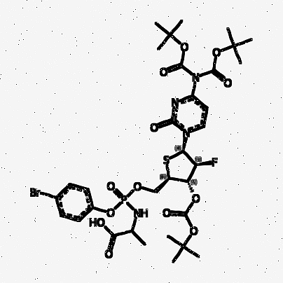 CC(NP(=O)(OC[C@H]1S[C@@H](n2ccc(N(C(=O)OC(C)(C)C)C(=O)OC(C)(C)C)nc2=O)[C@@H](F)[C@@H]1OC(=O)OC(C)(C)C)Oc1ccc(Br)cc1)C(=O)O